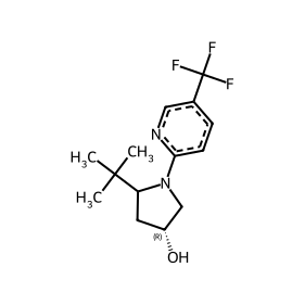 CC(C)(C)C1C[C@@H](O)CN1c1ccc(C(F)(F)F)cn1